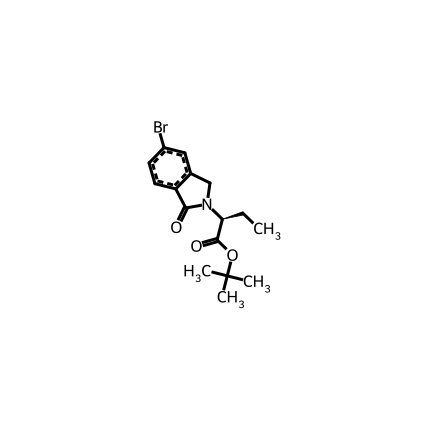 CC[C@@H](C(=O)OC(C)(C)C)N1Cc2cc(Br)ccc2C1=O